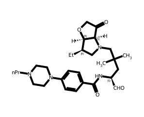 CCCN1CCN(c2ccc(C(=O)N[C@H](C=O)CC(C)(C)CN3C[C@@H](CC)[C@H]4OCC(=O)[C@H]43)cc2)CC1